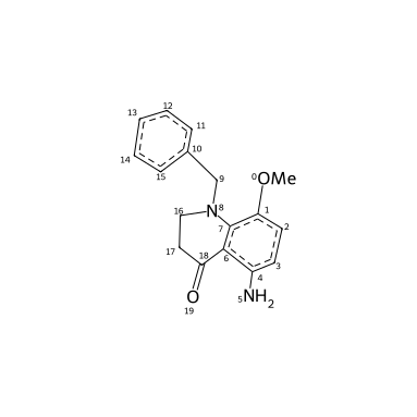 COc1ccc(N)c2c1N(Cc1ccccc1)CCC2=O